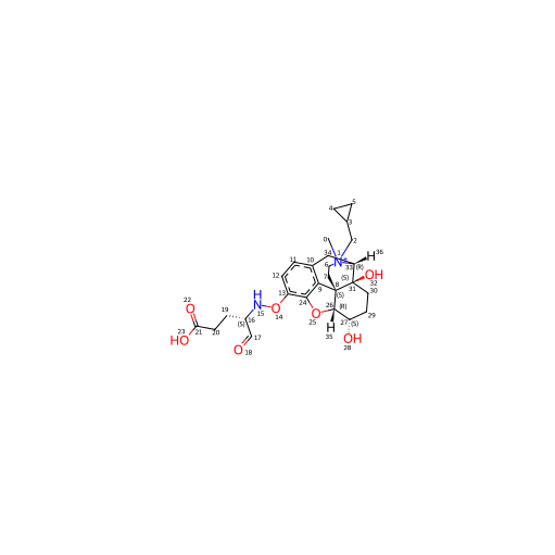 C[N+]1(CC2CC2)CC[C@]23c4c5ccc(ON[C@H](C=O)CCC(=O)O)c4O[C@H]2[C@@H](O)CC[C@@]3(O)[C@H]1C5